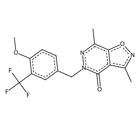 COc1ccc(Cn2nc(C)c3onc(C)c3c2=O)cc1C(F)(F)F